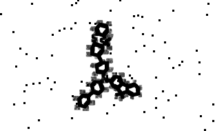 CC1(C)c2ccccc2-c2ccc(N(c3ccc(-c4ccccc4)cc3)c3ccc(-c4ccc5c(c4)[Si](C)(C)c4ccccc4S5)cc3)cc21